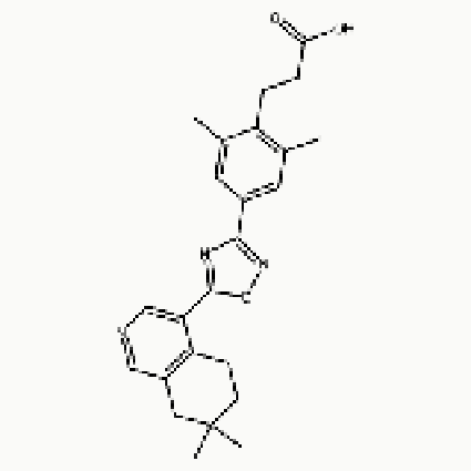 Cc1cc(-c2noc(-c3cncc4c3CCC(C)(C)C4)n2)cc(C)c1CCC(=O)O